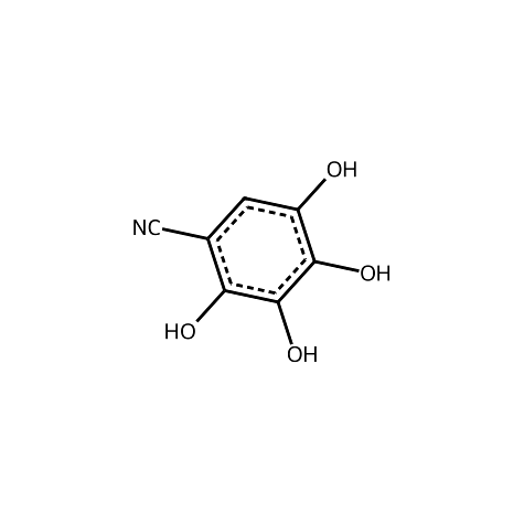 N#Cc1cc(O)c(O)c(O)c1O